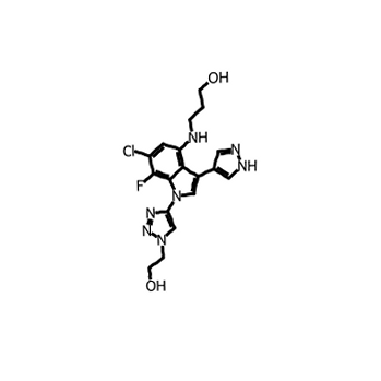 OCCCNc1cc(Cl)c(F)c2c1c(-c1cn[nH]c1)cn2-c1cn(CCO)nn1